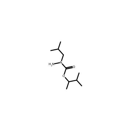 CC(C)CN(N)C(=O)OC(C)C(C)C